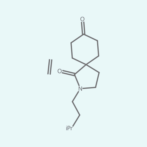 C=C.CC(C)CCN1CCC2(CCC(=O)CC2)C1=O